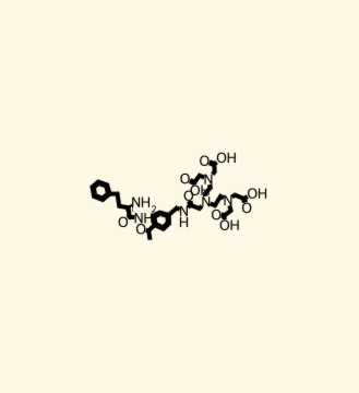 CC(ONC(=O)[C@H](N)CCc1ccccc1)c1ccc(CNC(=O)CN(CCN(CC(=O)O)CC(=O)O)CCN(CC(=O)O)CC(=O)O)cc1